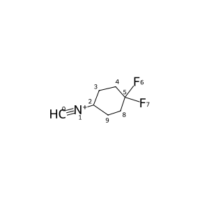 C#[N+]C1CCC(F)(F)CC1